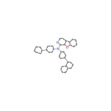 c1ccc(-c2ccc(N(c3ccc(-c4cccc5ccccc45)cc3)c3nccc4c3oc3ccccc34)cc2)cc1